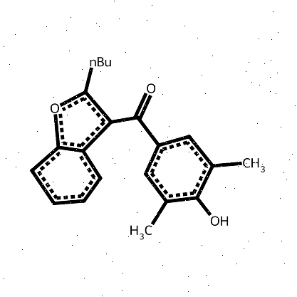 CCCCc1oc2ccccc2c1C(=O)c1cc(C)c(O)c(C)c1